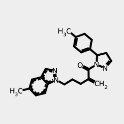 C=C(CCCn1ncc2cc(C)ccc21)C(=O)N1N=CCC1C1=CC=C(C)CC1